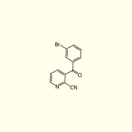 N#Cc1ncccc1C(=O)c1cccc(Br)c1